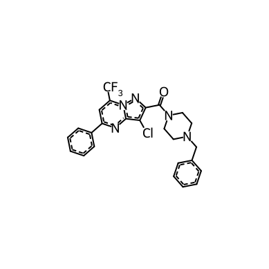 O=C(c1nn2c(C(F)(F)F)cc(-c3ccccc3)nc2c1Cl)N1CCN(Cc2ccccc2)CC1